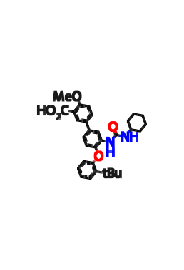 COc1ccc(-c2ccc(Oc3ccccc3C(C)(C)C)c(NC(=O)NC3CCCCC3)c2)cc1C(=O)O